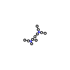 C1=CCCC(C2=CC=C(N(c3ccc(C4=CCC(c5ccc(N(C6=CC=C(c7ccccc7)CC6)c6ccccc6)cc5-c5ccccc5)C=C4)cc3)C3C=CC(c4ccccc4)=CC3)CC2)=C1